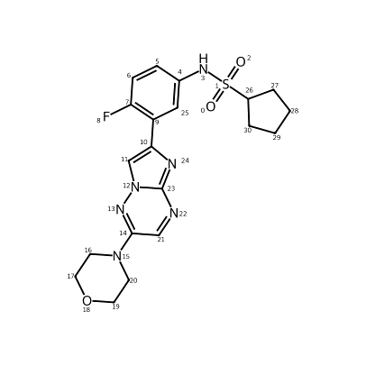 O=S(=O)(Nc1ccc(F)c(-c2cn3nc(N4CCOCC4)cnc3n2)c1)C1CCCC1